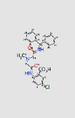 CN(CC(=O)Nc1ccc(Cl)cc1C(=O)O)CC(=O)NC(c1ccccc1)c1ccccc1